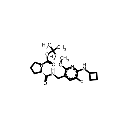 COc1nc(NC2CCC2)c(F)cc1CNC(=O)[C@@H]1CCCN1C(=O)OC(C)(C)C